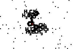 CC(c1ccccn1)N(C)C(=O)CSC1CCCCC1Sc1cc(C(C)(C)C)cc(C(C)(C)C)c1